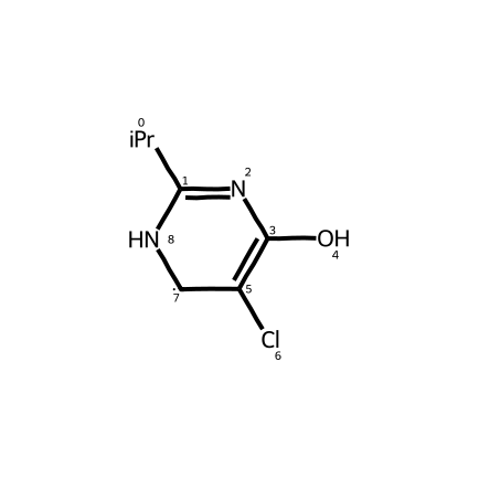 CC(C)C1=NC(O)=C(Cl)[CH]N1